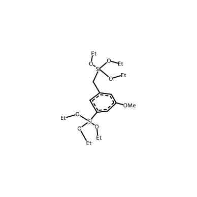 CCO[Si](Cc1cc(OC)cc([Si](OCC)(OCC)OCC)c1)(OCC)OCC